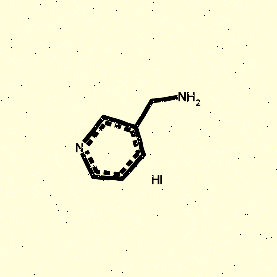 I.NCc1cccnc1